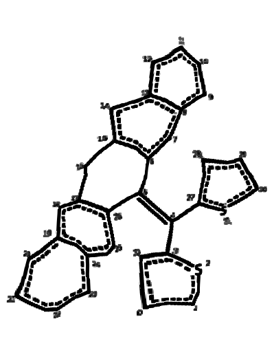 c1csc(C(=C2c3cc4ccccc4cc3Cc3cc4ccccc4cc32)c2cccs2)c1